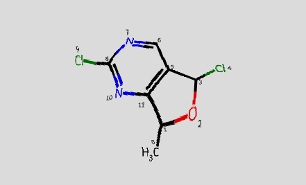 CC1OC(Cl)c2cnc(Cl)nc21